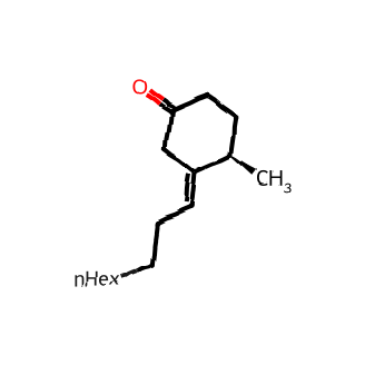 CCCCCCCCC=C1CC(=O)CC[C@H]1C